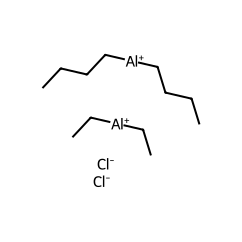 CCC[CH2][Al+][CH2]CCC.C[CH2][Al+][CH2]C.[Cl-].[Cl-]